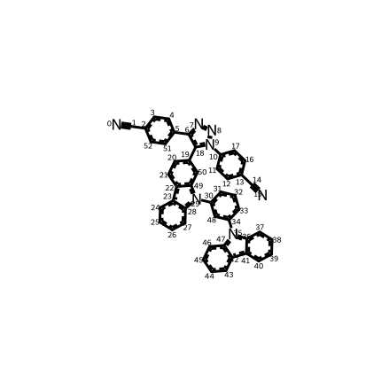 N#Cc1ccc(-c2nnn(-c3ccc(C#N)cc3)c2-c2ccc3c4ccccc4n(-c4cccc(-n5c6ccccc6c6ccccc65)c4)c3c2)cc1